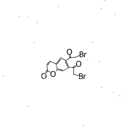 O=C(CBr)c1cc2ccc(=O)oc2cc1C(=O)CBr